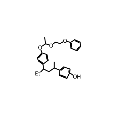 CCC(CC(C)c1ccc(O)cc1)c1ccc(OC(C)OCCOc2ccccc2)cc1